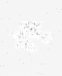 CC(C(=O)O)c1cccc(CC(C)(C)NC[C@H](O[Si](C)(C)C(C)(C)C)c2ccc(OCc3ccccc3)c(CO)c2)c1